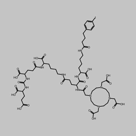 O=C(O)CCC(NC(=O)NC(CCC(=O)NC(CCCCNC(=O)CCC(NC(=O)CN1CCN(CC(=O)O)CCN(CC(=O)O)CCN(CC(=O)O)CC1)C(=O)NC(CCCCNC(=O)CCCc1ccc(I)cc1)C(=O)O)C(=O)O)C(=O)O)C(=O)O